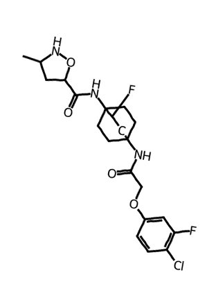 CC1CC(C(=O)NC23CCC(NC(=O)COc4ccc(Cl)c(F)c4)(CC2)CC3F)ON1